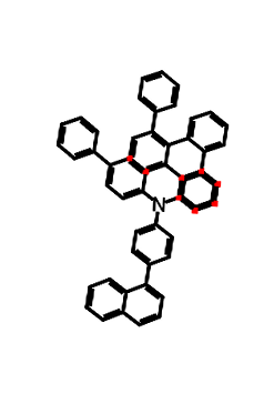 c1ccc(-c2ccc(N(c3ccc(-c4cccc5ccccc45)cc3)c3ccccc3-c3cccc(-c4ccccc4)c3-c3ccccc3-c3ccccc3)cc2)cc1